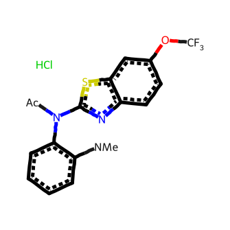 CNc1ccccc1N(C(C)=O)c1nc2ccc(OC(F)(F)F)cc2s1.Cl